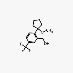 COC1(c2ccc(C(F)(F)F)cc2CO)CCCC1